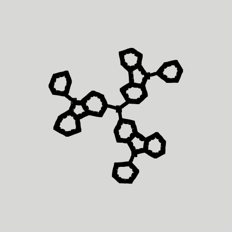 c1ccc(-n2c3ccccc3c3cc(N(c4ccc5c(c4)c4ccccc4n5-c4ccccc4)c4ccc5c(c4)c4ccccc4n5-c4ccccc4)ccc32)cc1